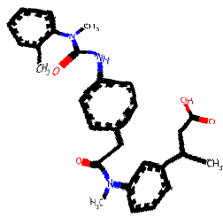 Cc1ccccc1N(C)C(=O)Nc1ccc(CC(=O)N(C)c2cccc(C(C)CC(=O)O)c2)cc1